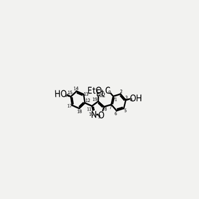 CCOC(=O)c1cc(O)ccc1-c1onc(-c2ccc(O)cc2)c1CC